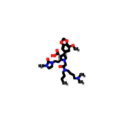 CCCCN(CCCCN(C)C)C(=O)CN1C[C@H](c2cc(OC)c3c(c2)OCO3)[C@@H](C(=O)O)[C@@H]1CCN1CCN(C)C1=O